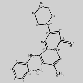 Cc1cc(Nc2ccccc2O)c2nc(N3CCOCC3)cc(=O)n2c1